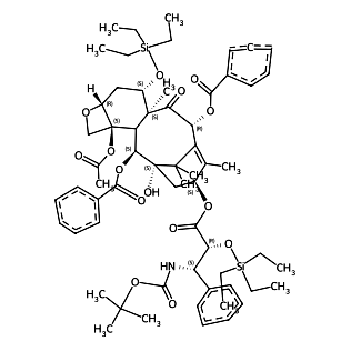 CC[Si](CC)(CC)O[C@H]1C[C@H]2OC[C@@]2(OC(C)=O)C2[C@H](OC(=O)c3ccccc3)[C@]3(O)C[C@H](OC(=O)[C@H](O[Si](CC)(CC)CC)[C@@H](NC(=O)OC(C)(C)C)c4ccccc4)C(C)=C([C@@H](OC(=O)c4ccccc4)C(=O)[C@@]21C)C3(C)C